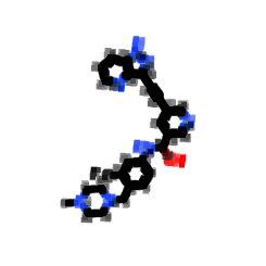 CN1CCN(Cc2ccc(NC(O)c3cncc(C#Cc4n[nH]c5cccnc45)c3)cc2C(F)(F)F)CC1